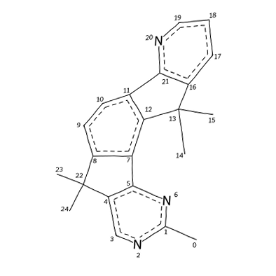 Cc1ncc2c(n1)-c1c(ccc3c1C(C)(C)c1cccnc1-3)C2(C)C